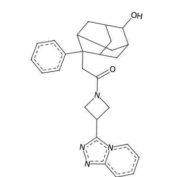 O=C(CC1(c2ccccc2)C2CC3CC1CC(C2)C3O)N1CC(c2nnc3ccccn23)C1